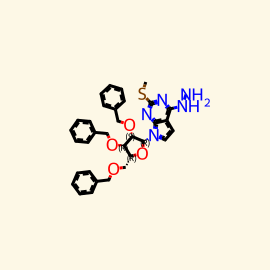 CSc1nc(NN)c2ccn([C@@H]3O[C@H](COCc4ccccc4)[C@@H](OCc4ccccc4)[C@@H]3OCc3ccccc3)c2n1